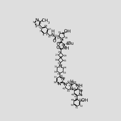 Cc1ncsc1-c1ccc(CNC(=O)[C@@H]2C[C@@H](O)CN2C(=O)[C@@H](NC(=O)C2CC3(C2)CC(N2CCC(c4ccnc(N5CCN6c7cc(-c8ccccc8O)nnc7NC[C@@H]6C5)n4)CC2)C3)C(C)(C)C)cc1